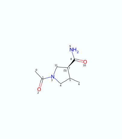 CC(=O)N1CC(C)[C@H](C(N)=O)C1